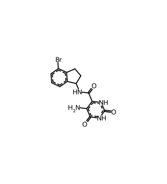 Nc1c(C(=O)NC2CCc3c(Br)cccc32)[nH]c(=O)[nH]c1=O